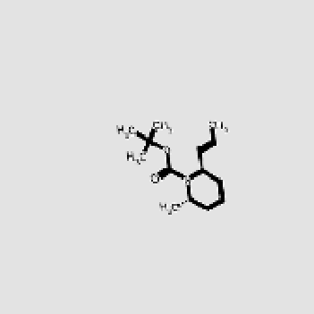 CC=C[C@H]1CCC[C@H](C)N1C(=O)OC(C)(C)C